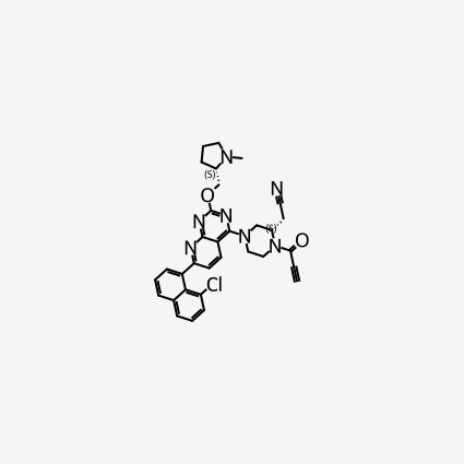 C#CC(=O)N1CCN(c2nc(OC[C@@H]3CCCN3C)nc3nc(-c4cccc5cccc(Cl)c45)ccc23)C[C@@H]1CC#N